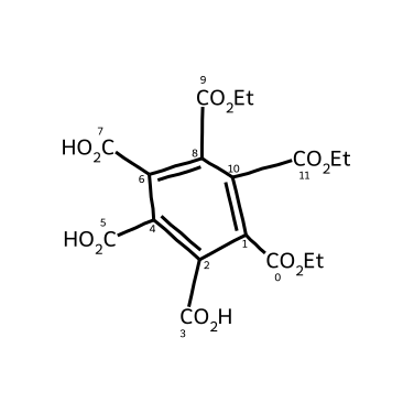 CCOC(=O)c1c(C(=O)O)c(C(=O)O)c(C(=O)O)c(C(=O)OCC)c1C(=O)OCC